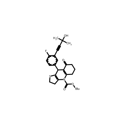 CC(C)(O)C#Cc1cc(C2C3=C(CCS3)N(C(=O)OC(C)(C)C)C3=C2C(=O)CCC3)ccc1F